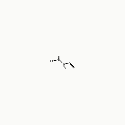 C=C[SiH2]NCC